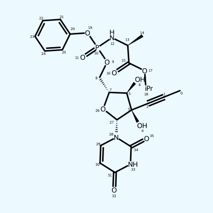 CC#C[C@@]1(O)[C@H](O)[C@@H](COP(=O)(N[C@@H](C)C(=O)OC(C)C)Oc2ccccc2)O[C@H]1n1ccc(=O)[nH]c1=O